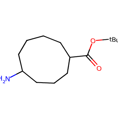 CC(C)(C)OC(=O)C1CCCCC(N)CCC1